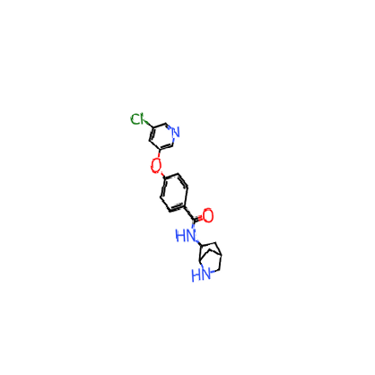 O=C(NC1CC2CNC1C2)c1ccc(Oc2cncc(Cl)c2)cc1